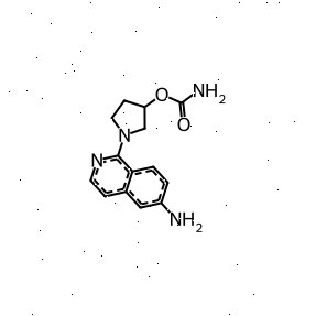 NC(=O)OC1CCN(c2nccc3cc(N)ccc23)C1